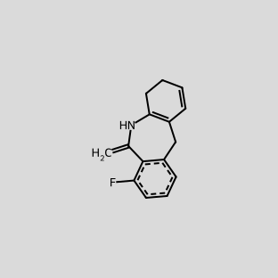 C=C1NC2=C(C=CCC2)Cc2cccc(F)c21